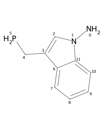 Nn1cc(CP)c2ccccc21